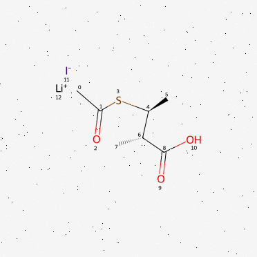 CC(=O)S[C@@H](C)[C@@H](C)C(=O)O.[I-].[Li+]